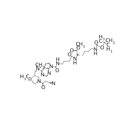 COC(=O)[C@H](CCCCNC(=O)OC(C)(C)C)NC(=O)CCCNC(=O)n1ccc2c(/[N+](C)=C\C3CN(C(=O)CC#N)CC[C@H]3C)ncnc21